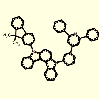 CC1(C)c2ccccc2-c2ccc(-n3c4ccccc4c4c5c6ccccc6n(-c6cccc(-c7cc(-c8ccccc8)nc(-c8ccccc8)c7)c6)c5ccc43)cc21